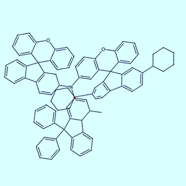 CC1C=C(N(c2ccc3c(c2)C2(c4ccccc4O3)c3cc(C4CCCCC4)ccc3-c3ccc(C4CCCCC4)cc32)C2C=CC3=C(C2)C2(c4ccccc4Oc4ccccc42)c2ccccc23)C=C2C1c1ccccc1C2(c1ccccc1)c1ccccc1